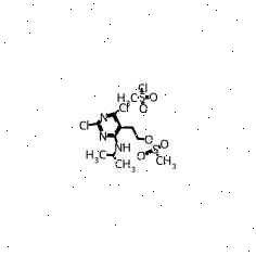 CC(C)Nc1nc(Cl)nc(Cl)c1CCOS(C)(=O)=O.CS(=O)(=O)Cl